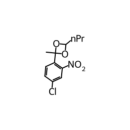 CCCC1OC(C)(c2ccc(Cl)cc2[N+](=O)[O-])O1